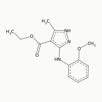 CCOC(=O)c1c(Nc2ccccc2OC)n[nH]c1C